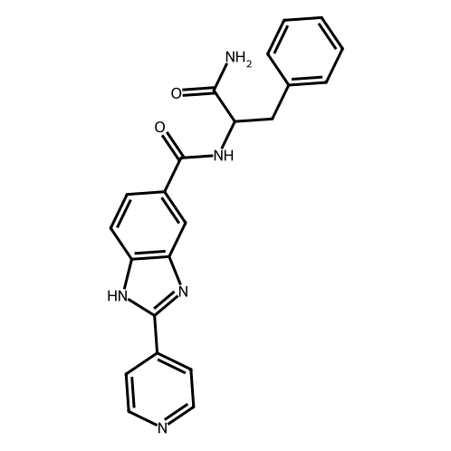 NC(=O)C(Cc1ccccc1)NC(=O)c1ccc2[nH]c(-c3ccncc3)nc2c1